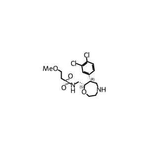 COCCS(=O)(=O)NC[C@H]1OCCNC[C@H]1c1ccc(Cl)c(Cl)c1